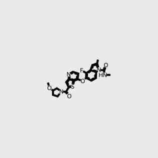 CNC(=O)n1c(C)cc2c(F)c(Oc3ccnc4cc(C(=O)N5CCC(OC)C5)sc34)ccc21